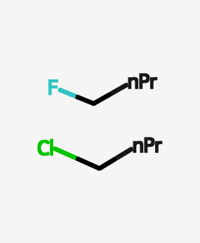 CCCCCl.CCCCF